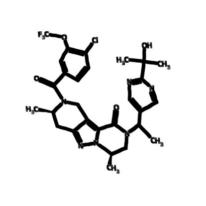 CC(c1cnc(C(C)(C)O)nc1)N1C[C@@H](C)n2nc3c(c2C1=O)CN(C(=O)c1ccc(Cl)c(OC(F)(F)F)c1)[C@H](C)C3